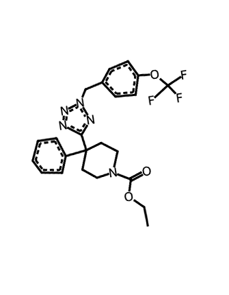 CCOC(=O)N1CCC(c2ccccc2)(c2nnn(Cc3ccc(OC(F)(F)F)cc3)n2)CC1